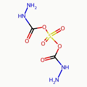 NNC(=O)OS(=O)(=O)OC(=O)NN